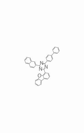 c1ccc(-c2ccc(-c3nc(-c4ccc5ccccc5c4)nc(-c4cccc5c4oc4ccccc45)n3)cc2)cc1